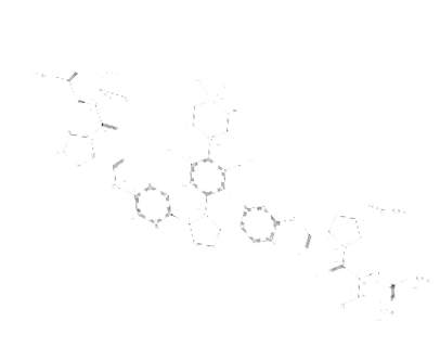 COC[C@H]1C[C@@H](C(=O)Nc2ccc([C@@H]3CC[C@@H](c4ccc(NC(=O)[C@@H]5CCCN5C(=O)[C@@H](NC(=O)OC)[C@@H](C)OC)cc4)N3c3cc(F)c(N4CC[Si](C)(C)CC4)c(F)c3)cc2)N(C(=O)[C@@H](NC(=O)OC)[C@@H](C)OC)C1